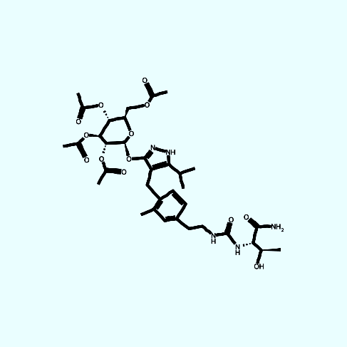 CC(=O)OC[C@H]1O[C@@H](Oc2n[nH]c(C(C)C)c2Cc2ccc(CCNC(=O)N[C@H](C(N)=O)[C@@H](C)O)cc2C)[C@H](OC(C)=O)[C@@H](OC(C)=O)[C@@H]1OC(C)=O